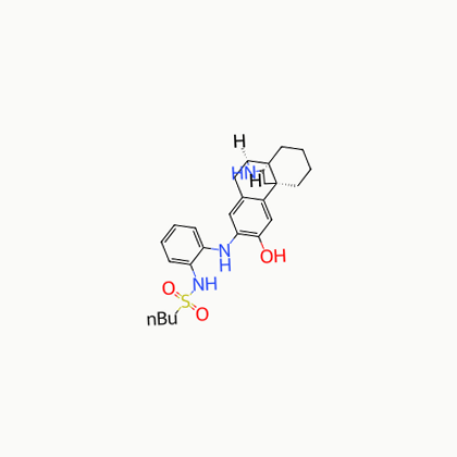 CCCCS(=O)(=O)Nc1ccccc1Nc1cc2c(cc1O)[C@]13CCCC[C@@H]1[C@H](C2)NCC3